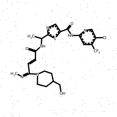 C/N=C(\C=C\C(=O)NC(C)c1ncc(C(=O)Nc2cc(C(F)(F)F)c(Cl)cn2)s1)N1CCC(CO)CC1